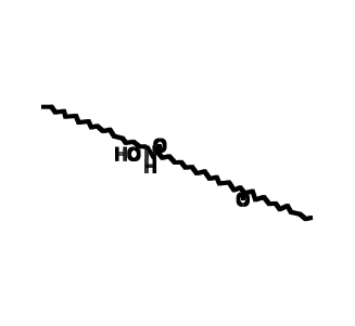 CCCCCCCCCCCCCCCCC(O)CNC(=O)CCCCCCCCCCCCCCC(=O)CCCCCCCCCCC